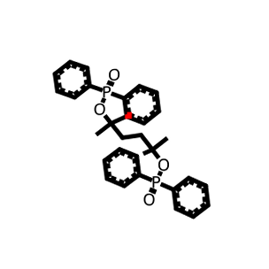 CC(C)(CCC(C)(C)OP(=O)(c1ccccc1)c1ccccc1)OP(=O)(c1ccccc1)c1ccccc1